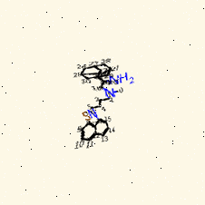 CN(CCCCN1Sc2cccc3cccc1c23)C[C@H](N)C12CC3CC(CC(C3)C1)C2